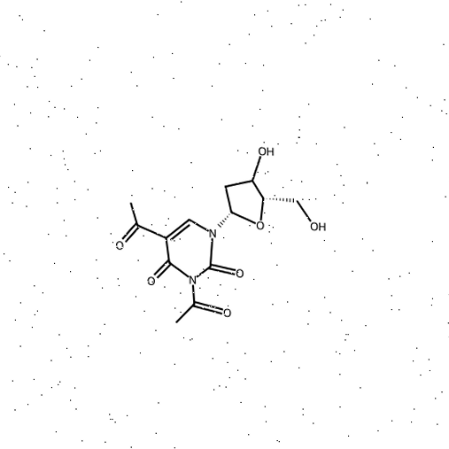 CC(=O)c1cn([C@@H]2CC(O)[C@H](CO)O2)c(=O)n(C(C)=O)c1=O